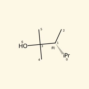 CC(C)[C@@H](C)C(C)(C)O